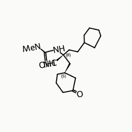 CNC(=N)N[C@](C=O)(CCC1CCCCC1)C[C@@H]1CCCC(=O)C1